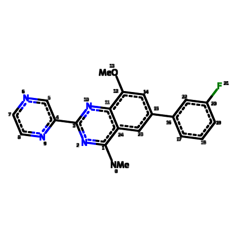 CNc1nc(-c2cnccn2)nc2c(OC)cc(-c3cccc(F)c3)cc12